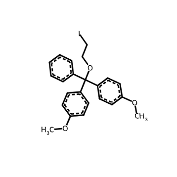 COc1ccc(C(OCCI)(c2ccccc2)c2ccc(OC)cc2)cc1